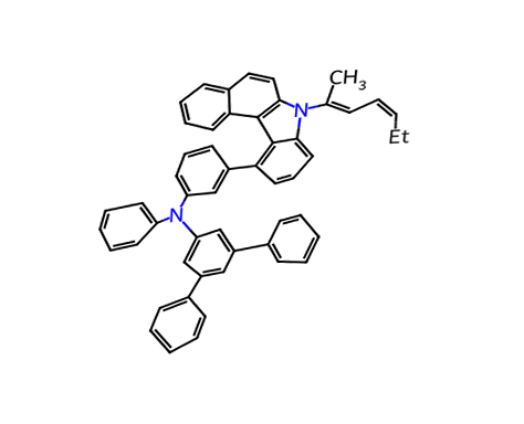 CC/C=C\C=C(/C)n1c2cccc(-c3cccc(N(c4ccccc4)c4cc(-c5ccccc5)cc(-c5ccccc5)c4)c3)c2c2c3ccccc3ccc21